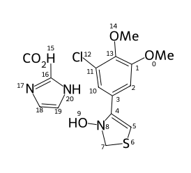 COc1cc(C2=CSCN2O)cc(Cl)c1OC.O=C(O)c1ncc[nH]1